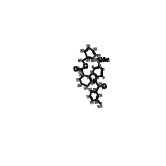 CSc1ccc2c(c1)c1c(n2C(=O)c2cccc(I)c2)CCCC1C(=O)OCc1ccccc1